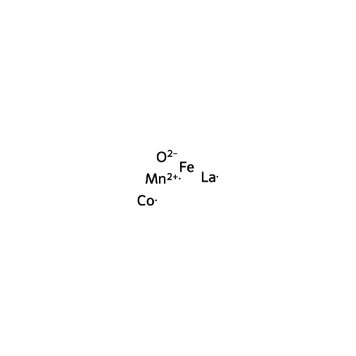 [Co].[Fe].[La].[Mn+2].[O-2]